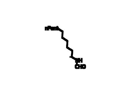 [CH2]CCCCCCCCC[CH]NC=O